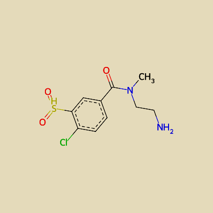 CN(CCN)C(=O)c1ccc(Cl)c([SH](=O)=O)c1